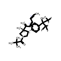 C=C(/C=C\C=C/C)[C@@]1(C)CN(C(=O)C(C)(C)C)C[C@H]1c1ccc(C(O)(C(F)(F)F)C(F)(F)F)cc1